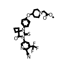 COC(=O)CN1CCC(Oc2ccc(N3C(=S)N(c4cnc(C#N)c(C(F)(F)F)c4)C(=O)C34CCC4)cc2)CC1